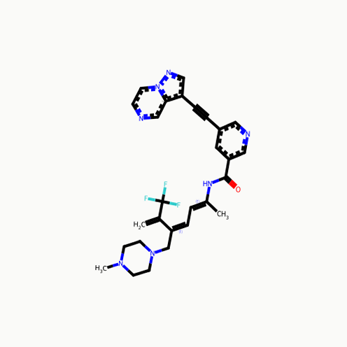 C=C(/C(=C\C=C(/C)NC(=O)c1cncc(C#Cc2cnn3ccncc23)c1)CN1CCN(C)CC1)C(F)(F)F